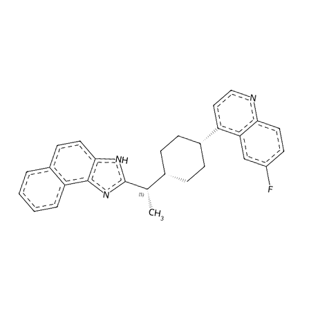 C[C@H](c1nc2c(ccc3ccccc32)[nH]1)[C@H]1CC[C@@H](c2ccnc3ccc(F)cc32)CC1